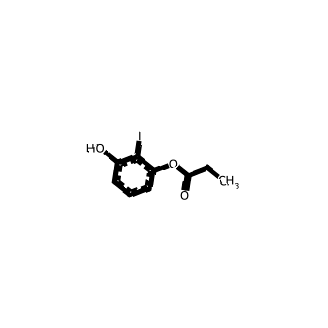 CCC(=O)Oc1cccc(O)c1I